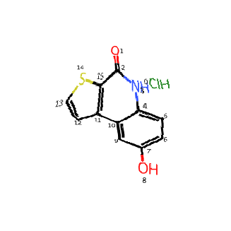 Cl.O=c1[nH]c2ccc(O)cc2c2ccsc12